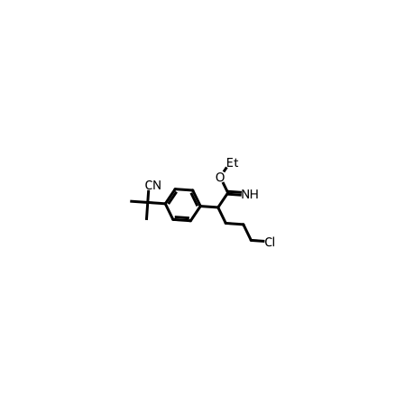 CCOC(=N)C(CCCCl)c1ccc(C(C)(C)C#N)cc1